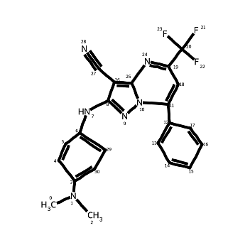 CN(C)c1ccc(Nc2nn3c(-c4ccccc4)cc(C(F)(F)F)nc3c2C#N)cc1